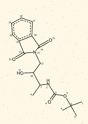 CC(NC(=O)OC(C)(C)C)C(O)CN1C(=O)c2ccccc2C1=O